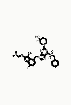 CN(C)/C=N/c1sc2c(F)ccc(Cn3cnc4c(S(=O)(=O)Cc5ccccc5)nc(N5CCC[C@](C)(O)C5)nc43)c2c1C#N